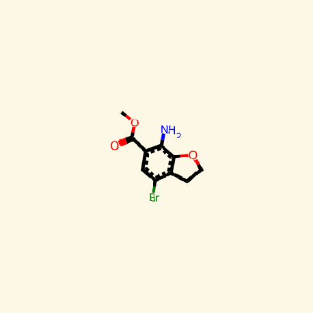 COC(=O)c1cc(Br)c2c(c1N)OCC2